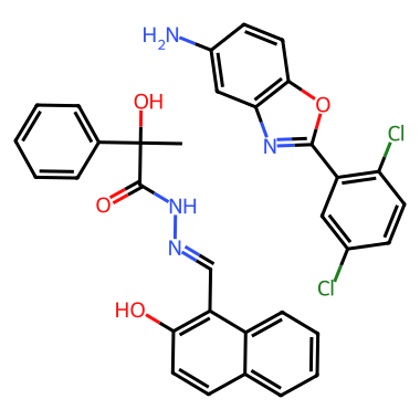 CC(O)(C(=O)NN=Cc1c(O)ccc2ccccc12)c1ccccc1.Nc1ccc2oc(-c3cc(Cl)ccc3Cl)nc2c1